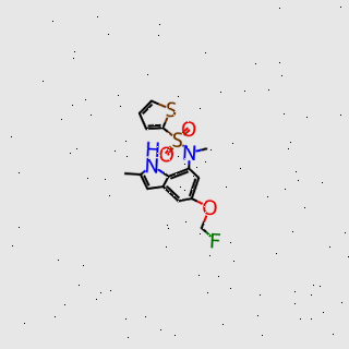 Cc1cc2cc(OCF)cc(N(C)S(=O)(=O)c3cccs3)c2[nH]1